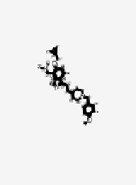 COc1ccc(CN2CCC(CCc3noc4c(CN(C)C)c(OCC5CC5)ccc34)CC2)cc1